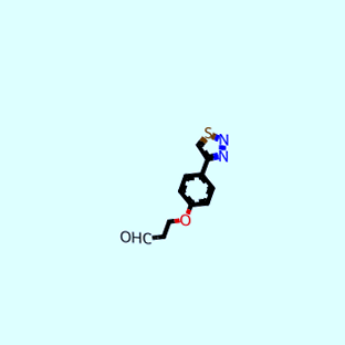 O=CCCOc1ccc(-c2csnn2)cc1